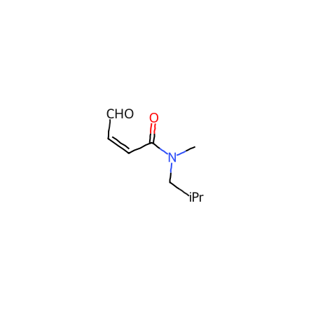 CC(C)CN(C)C(=O)/C=C\C=O